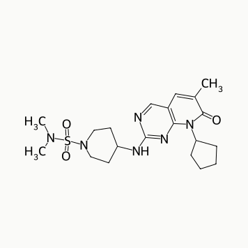 Cc1cc2cnc(NC3CCN(S(=O)(=O)N(C)C)CC3)nc2n(C2CCCC2)c1=O